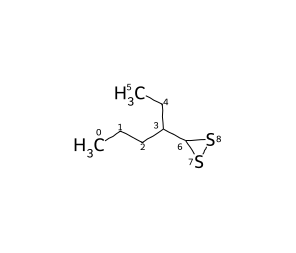 CCCC(CC)C1SS1